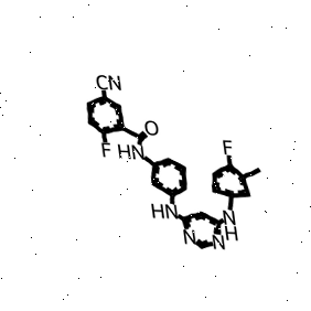 Cc1cc(Nc2cc(Nc3cccc(NC(=O)c4cc(C#N)ccc4F)c3)ncn2)ccc1F